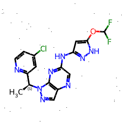 C[C@@H](c1cc(Cl)ccn1)n1ncc2ncc(Nc3cc(OC(F)F)[nH]n3)nc21